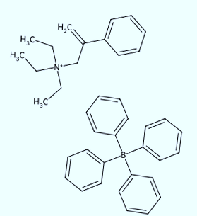 C=C(C[N+](CC)(CC)CC)c1ccccc1.c1ccc([B-](c2ccccc2)(c2ccccc2)c2ccccc2)cc1